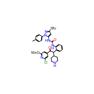 COc1cc(C(=O)C(c2ccccc2NC(=O)Nc2cc(C(C)(C)C)nn2-c2ccc(C)cc2)C2CCNCC2)cc(Cl)n1